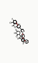 CC(Oc1cc(-c2cnn(C3CCC(CN4CC5CC(C4)N5c4cc5c(cc4F)C(=O)N(C4CCC(=O)NC4=O)C5=O)CC3)c2)cnc1N)c1c(Cl)ccc(F)c1Cl